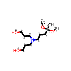 CCO[Si](C)(CCCN(CCCO)CCCO)OCC